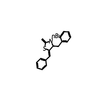 C=C1S/C(=C\c2ccccc2)C(Cc2ccccc2)N1CCCC